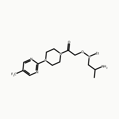 CCN(CC(C)N)OCC(=O)N1CCN(c2ncc(C(F)(F)F)cn2)CC1